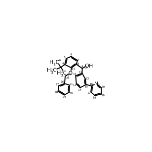 CC(C)(C)c1cccc(C(O)c2cccc(-c3ccccn3)c2)c1OCc1ccccc1